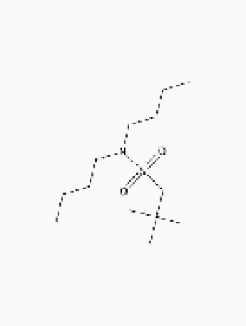 CCCCN(CCCC)S(=O)(=O)CC(C)(C)C